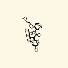 COCCOc1ccncc1NC(=O)c1c(N)nn2cc(Cl)cnc12